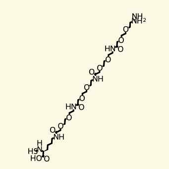 NNCCOCCOCC(=O)NCCOCCOCC(=O)NCCOCCOCC(=O)NCCOCCOCC(=O)NCCCC[C@H](NS)C(=O)O